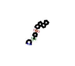 C1=CC=CNC=C1.O=S(=O)(c1ccc(C(F)(F)F)cc1)C1C=c2c(ccc3c2=CCc2ccccc2-3)CC1